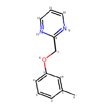 [CH2]c1cccc(OCc2ncccn2)c1